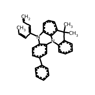 C=C/C=C(\C=C/C)N1c2ccc(-c3ccccc3)cc2N2c3ccccc3C(C)(C)c3cccc1c32